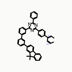 C/C=C\C(=C/C)c1ccc(-c2nc(-c3ccccc3)nc(-c3cccc(-c4cccc(-c5ccc6c(c5)C(C)(C)c5ccccc5-6)c4)c3)n2)cc1